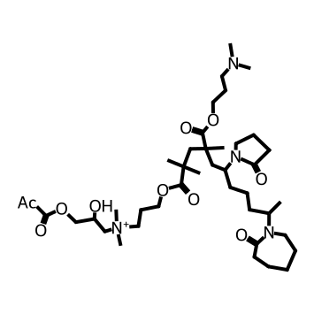 CC(=O)C(=O)OCC(O)C[N+](C)(C)CCCOC(=O)C(C)(C)CC(C)(CC(CCCC(C)N1CCCCCC1=O)N1CCCC1=O)C(=O)OCCCN(C)C